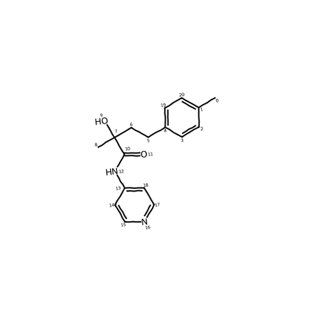 Cc1ccc(CCC(C)(O)C(=O)Nc2ccncc2)cc1